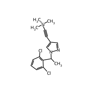 CC(c1c(Cl)cccc1Cl)n1cc(C#C[Si](C)(C)C)cn1